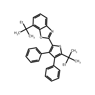 CCC(C)(C)c1sc(-c2nc3cccc(C(C)(C)CC)c3o2)c(-c2ccccc2)c1-c1ccccc1